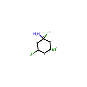 Cl.NC1(F)CCCC(F)C1